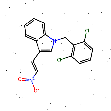 O=[N+]([O-])/C=C/c1cn(Cc2c(Cl)cccc2Cl)c2ccccc12